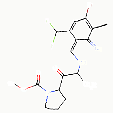 CCOC(=O)C(N/C=C1\C(=N)C(C)=C(Br)C=C1C(F)F)C(=O)C1CCCN1C(=O)OC(C)(C)C